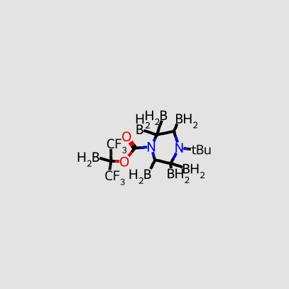 BC1N(C(C)(C)C)C(B)(B)C(B)N(C(=O)OC(B)(C(F)(F)F)C(F)(F)F)C1(B)B